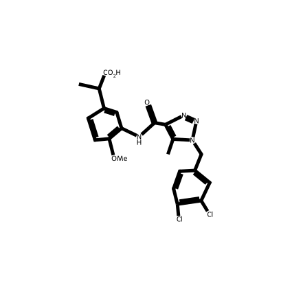 COc1ccc(C(C)C(=O)O)cc1NC(=O)c1nnn(Cc2ccc(Cl)c(Cl)c2)c1C